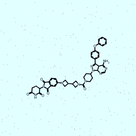 NC1=NC=NC2C1C(c1ccc(Oc3ccccc3)cc1)=NN2C1CCN(C(=O)N2CC(C3CN(c4ccc5c(c4)C(=O)N(C4CCC(=O)NC4=O)C5=O)C3)C2)CC1